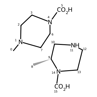 CN1CCN(C(=O)O)CC1.C[C@@H]1CNCCN1C(=O)O